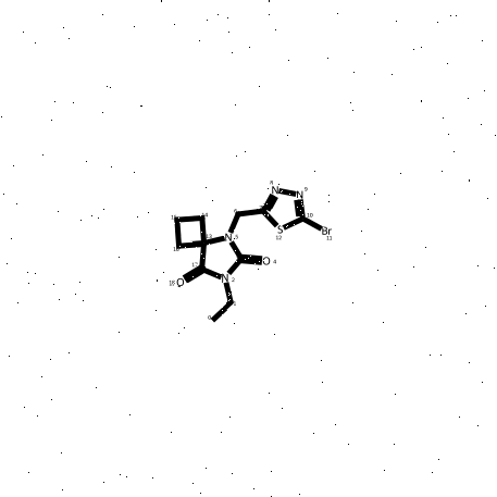 CCN1C(=O)N(Cc2nnc(Br)s2)C2(CCC2)C1=O